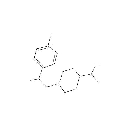 [2H]C(CN1CCC(C(C)O)CC1)c1ccc(Br)cc1